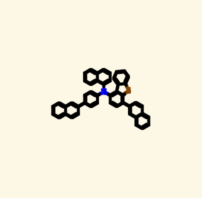 c1ccc2cc(-c3ccc(N(c4cccc5ccccc45)c4ccc(-c5ccc6ccccc6c5)c5sc6ccccc6c45)cc3)ccc2c1